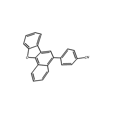 N#Cc1ccc(-c2cc3c4ccccc4oc3c3ccccc23)cc1